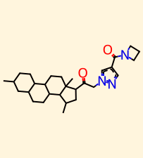 CC1CCC2C(CCC3C2CCC2(C)C(C(=O)Cn4cc(C(=O)N5CCC5)cn4)CC(C)C32)C1